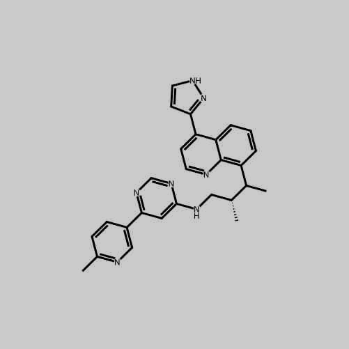 Cc1ccc(-c2cc(NC[C@@H](C)C(C)c3cccc4c(-c5cc[nH]n5)ccnc34)ncn2)cn1